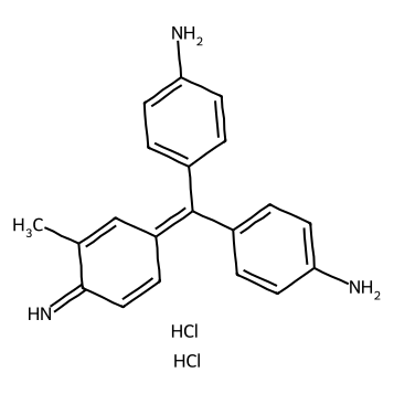 CC1=CC(=C(c2ccc(N)cc2)c2ccc(N)cc2)C=CC1=N.Cl.Cl